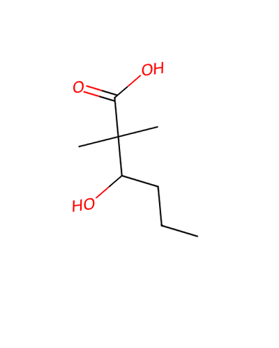 CCCC(O)C(C)(C)C(=O)O